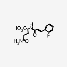 NC(=O)CC[C@H](NC(=O)C=Cc1ccccc1F)C(=O)O